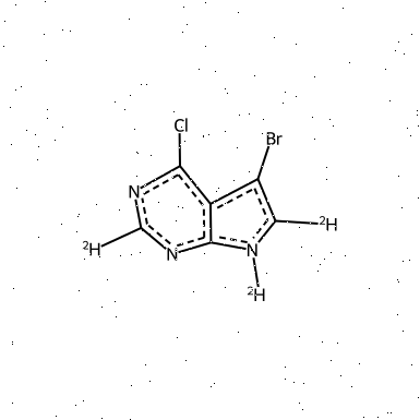 [2H]c1nc(Cl)c2c(Br)c([2H])n([2H])c2n1